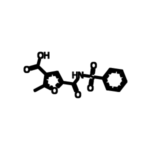 Cc1oc(C(=O)NS(=O)(=O)c2ccccc2)cc1C(=O)O